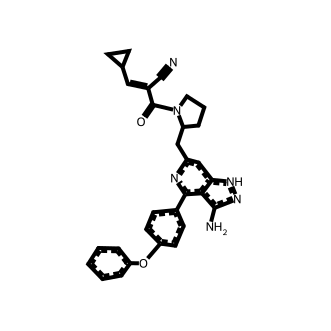 N#C/C(=C\C1CC1)C(=O)N1CCCC1Cc1cc2[nH]nc(N)c2c(-c2ccc(Oc3ccccc3)cc2)n1